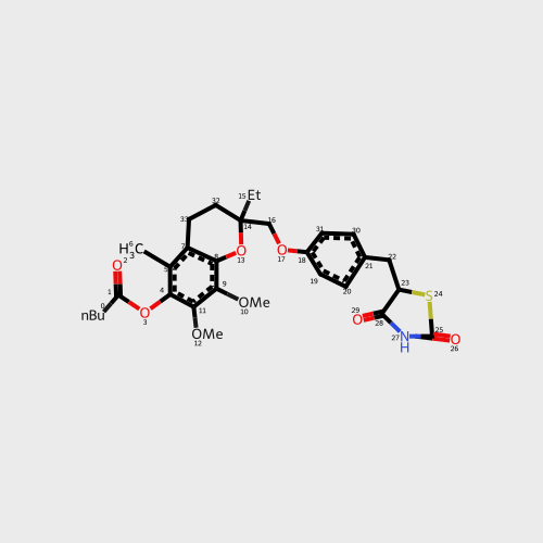 CCCCC(=O)Oc1c(C)c2c(c(OC)c1OC)OC(CC)(COc1ccc(CC3SC(=O)NC3=O)cc1)CC2